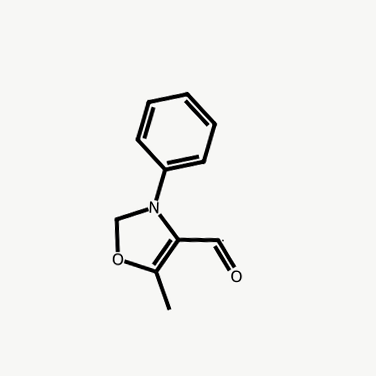 CC1=C([C]=O)N(c2ccccc2)CO1